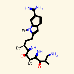 CC[C@@H](CCc1cc2ccc(C(=N)N)cc2n1CC)C(=N)C(=O)[C@H](CC)C(=N)C(=O)C(C)CN